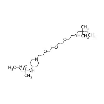 CCCC(C)(C)NC1CCN(CCOCCOCCOCCNCC(C)(C)CC)CC1